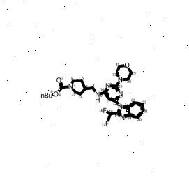 CCCCOC(=O)N1CCC(CNc2cc(-n3c(C(F)F)nc4ccccc43)nc(N3CCOCC3)n2)CC1